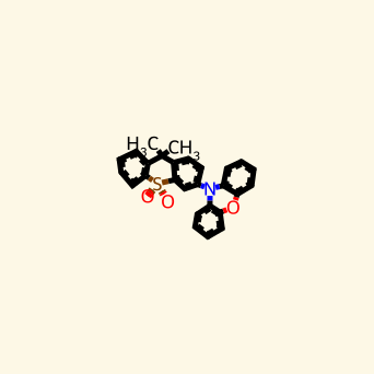 CC1(C)c2ccccc2S(=O)(=O)c2cc(N3c4ccccc4Oc4ccccc43)ccc21